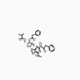 CNc1nc(NC(=O)Cc2ccccc2)nc2c1ncn2[C@@H]1O[C@H](COC(=O)C(C)C)[C@@H](OC(=O)Cc2ccccc2)[C@@]1(C)F